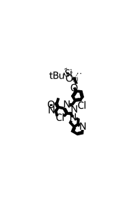 [CH2][C@H](COc1ccc(Cl)c(-c2nc(-c3c(C)noc3C)c(Cl)c(N3Cc4cccnc4C3)n2)c1)O[Si](C)(C)C(C)(C)C